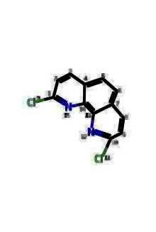 Clc1ccc2ccc3ccc(Cl)nc3c2n1